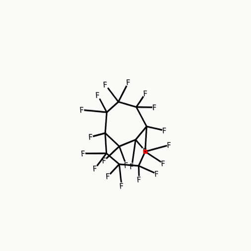 FC1(F)C(F)(F)C(F)(F)C2(F)C(F)(F)C(F)(F)C(F)(F)C(F)(C1(F)F)C(F)(F)C2(F)F